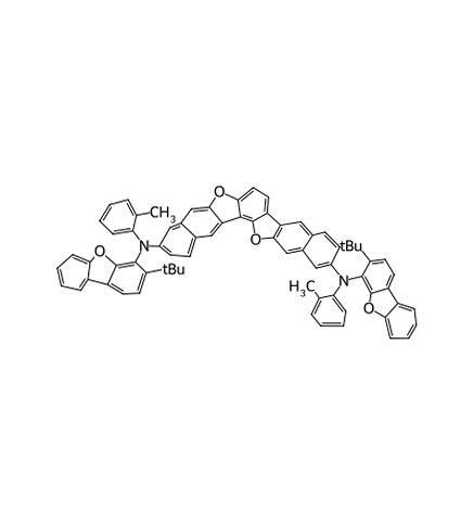 Cc1ccccc1N(c1ccc2cc3c(cc2c1)oc1c3ccc2oc3cc4cc(N(c5ccccc5C)c5c(C(C)(C)C)ccc6c5oc5ccccc56)ccc4cc3c21)c1c(C(C)(C)C)ccc2c1oc1ccccc12